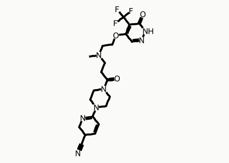 CN(CCOc1cn[nH]c(=O)c1C(F)(F)F)CCC(=O)N1CCN(C2=NCC(C#N)C=C2)CC1